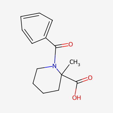 CC1(C(=O)O)CCCCN1C(=O)c1ccccc1